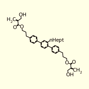 C=C(CO)C(=O)OCCCc1ccc(-c2ccc(-c3ccc(CCCOC(=O)C(=C)CO)cc3)c(CCCCCCC)c2)cc1